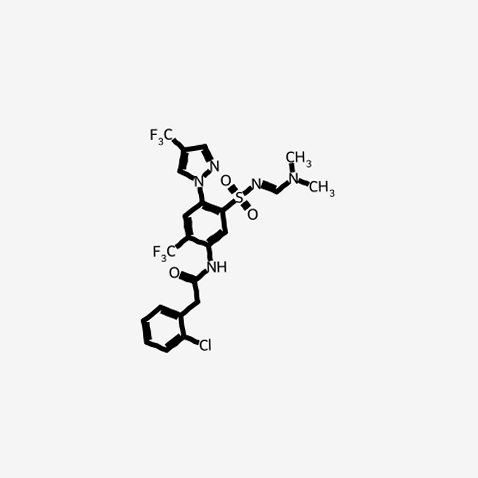 CN(C)C=NS(=O)(=O)c1cc(NC(=O)Cc2ccccc2Cl)c(C(F)(F)F)cc1-n1cc(C(F)(F)F)cn1